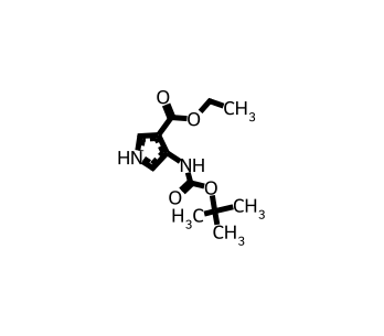 CCOC(=O)c1c[nH]cc1NC(=O)OC(C)(C)C